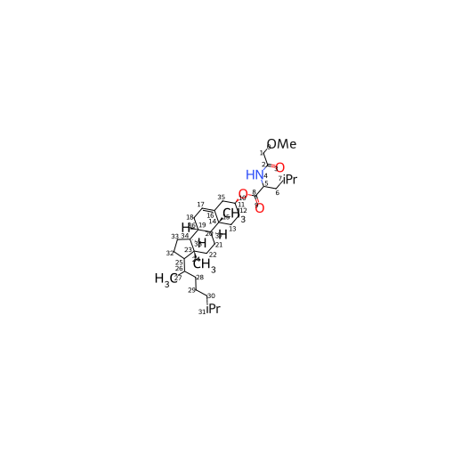 COCC(=O)NC(CC(C)C)C(=O)O[C@H]1CC[C@@]2(C)C(=CC[C@@H]3[C@@H]2CC[C@]2(C)C(C(C)CCCC(C)C)CC[C@@H]32)C1